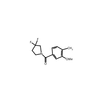 COc1cc(C(=O)N2CCC(F)(F)C2)ccc1C